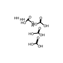 O=C(O)O.O=C(O)O.O=C(O)O.O=C(O)O.[HH].[HH]